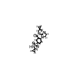 CC1(NS(=O)(=O)c2ccc3c(c2)C(=O)N(CC2(F)CC2)C2=NCCN23)CC1